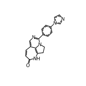 O=C1C=CC2=CN=C(c3ccc(-n4ccnc4)cc3)N3CCC(=C23)N1